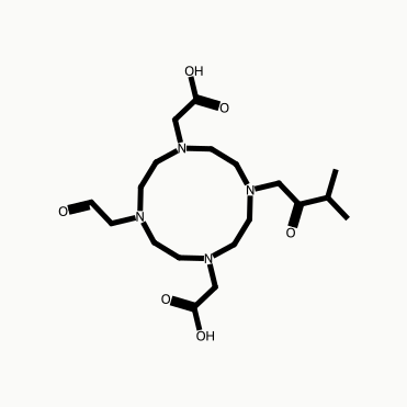 CC(C)C(=O)CN1CCN(CC(=O)O)CCN(CC=O)CCN(CC(=O)O)CC1